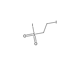 O=S(=O)(I)CCI